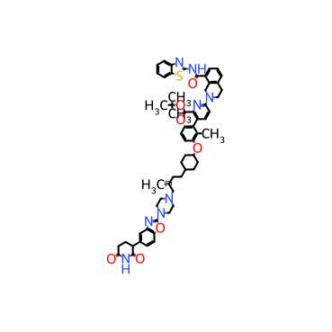 Cc1c(OC2CCC(CC[C@@H](C)CN3CCN(c4nc5cc(C6CCC(=O)NC6=O)ccc5o4)CC3)CC2)cccc1-c1ccc(N2CCc3cccc(C(=O)Nc4nc5ccccc5s4)c3C2)nc1C(=O)OC(C)(C)C